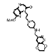 COc1ccc2ncc(=O)n(CCN3CCC(NCc4cc5c(nn4)OCCO5)CC3)c2n1